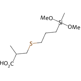 CO[Si](C)(CCCSCC(C)C(=O)O)OC